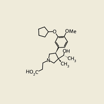 COc1ccc([C@@H]2CN(CCC(=O)O)C[C@@]2(C)[C@@H](C)O)cc1OC1CCCC1